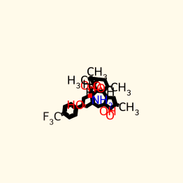 CC1=C[C@H]2[C@@]3(O)[C@H](C)C[C@]4(OC(=O)[C@H](N)CCc5ccc(C(F)(F)F)cc5)[C@H]([C@@H]3C=C(CO)C[C@]2(O)C1=O)C4(C)C